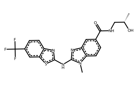 C[C@H](O)CNC(=O)c1ccc2c(c1)nc(Nc1nc3ccc(C(F)(F)F)cc3s1)n2C